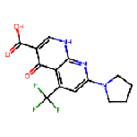 O=C(O)c1c[nH]c2nc(N3CCCC3)cc(C(F)(F)F)c2c1=O